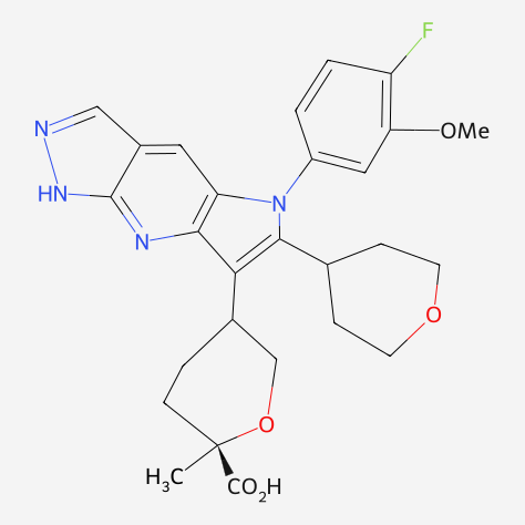 COc1cc(-n2c(C3CCOCC3)c(C3CC[C@](C)(C(=O)O)OC3)c3nc4[nH]ncc4cc32)ccc1F